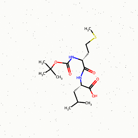 CSCC[C@@H](NC(=O)OC(C)(C)C)C(=O)N[C@@H](CC(C)C)C(=O)O